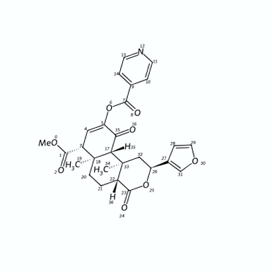 COC(=O)[C@@H]1C=C(OC(=O)c2ccncc2)C(=O)[C@H]2[C@@]1(C)CC[C@H]1C(=O)O[C@H](c3ccoc3)C[C@]21C